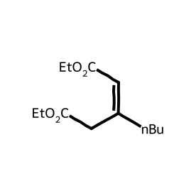 CCCCC(=CC(=O)OCC)CC(=O)OCC